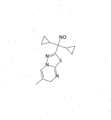 CC1=CN2N=C(C(N=O)(C3CC3)C3CC3)SC2=NC1